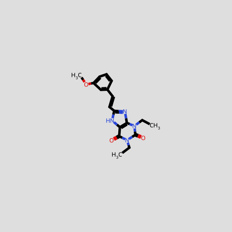 CCn1c(=O)c2[nH]c(C=Cc3cccc(OC)c3)nc2n(CC)c1=O